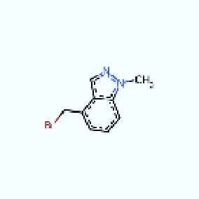 Cn1ncc2c(CBr)cccc21